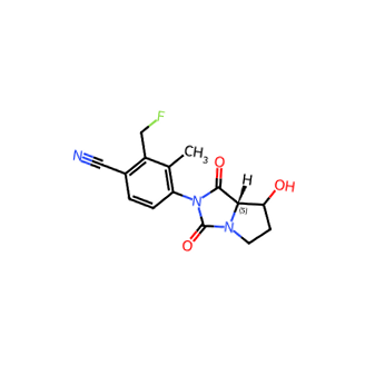 Cc1c(N2C(=O)[C@@H]3C(O)CCN3C2=O)ccc(C#N)c1CF